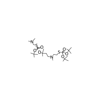 CN(C)CSP(=O)(OC(C)(C)C)OC(C)(C)CCN(C)CCSP(=O)(OC(C)(C)C)OC(C)(C)C